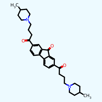 CC1CCN(CCCC(=O)c2ccc3c(c2)C(=O)c2cc(C(=O)CCCN4CCC(C)CC4)ccc2-3)CC1